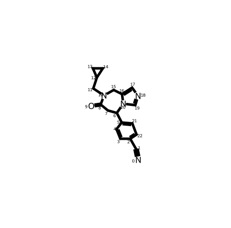 N#Cc1ccc(C2CC(=O)N(CC3CC3)Cc3cncn32)cc1